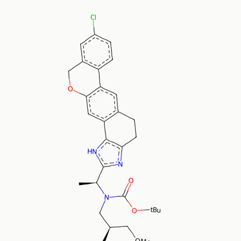 COC[C@@H](C)CN(C(=O)OC(C)(C)C)[C@@H](C)c1nc2c([nH]1)-c1cc3c(cc1CC2)-c1ccc(Cl)cc1CO3